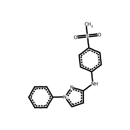 CS(=O)(=O)c1ccc(Nc2ccn(-c3ccccc3)n2)cc1